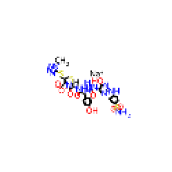 C=Cn1nnnc1SCC1=C(C(=O)[O-])N2C(=O)C(NC(=O)C(NC(=O)Nc3cnc(Nc4ccc(S(N)(=O)=O)cc4)nc3O)c3ccc(O)cc3)[C@@H]2SC1.[Na+]